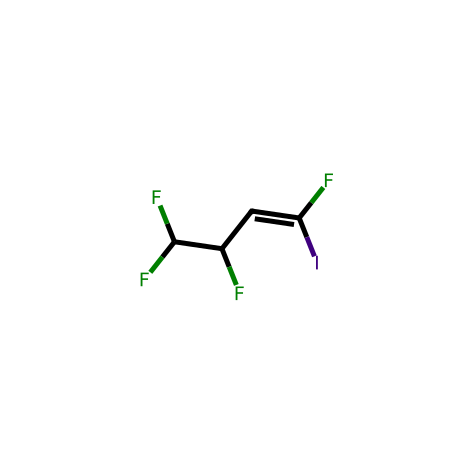 FC(I)=CC(F)C(F)F